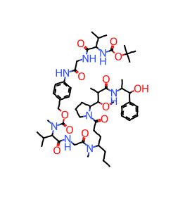 CCCC(CCC(=O)N1CCCC1C(OC)C(C)C(=O)NC(C)C(O)c1ccccc1)N(C)C(=O)CNC(=O)C(C(C)C)N(C)C(=O)OCc1ccc(NC(=O)CNC(=O)C(NC(=O)OC(C)(C)C)C(C)C)cc1